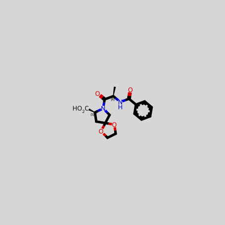 C[C@@H](NC(=O)c1ccccc1)C(=O)N1CC2(C[C@H]1C(=O)O)OCCO2